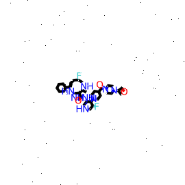 CC1NCC(F)C/C=C(/C2CCCCC2)NC(N)C1C(=O)NC1CNCC(F)C1N1CCC(C(=O)N2CCN(C3COC3)CC2)CC1